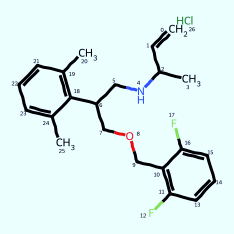 C=CC(C)NCC(COCc1c(F)cccc1F)c1c(C)cccc1C.Cl